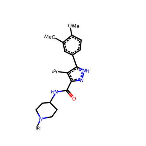 COc1ccc(-c2[nH]nc(C(=O)NC3CCN(C(C)C)CC3)c2C(C)C)cc1OC